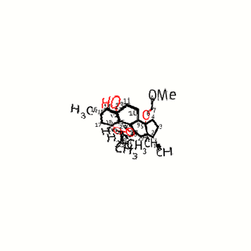 C#C[C@H]1CC[C@]2(OCOC)C3CC[C@]4(O)C[C@@H](C)C[C@H]5OC(C)(C)OC[C@]54C3[C@H](C)C[C@]12C